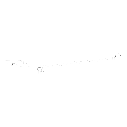 CC(C)(C)OC(=O)N1CCN(CCOCc2cn(CCOCCOCCOCCOCCOCCOCCOCCN=[N+]=[N-])nn2)CC1